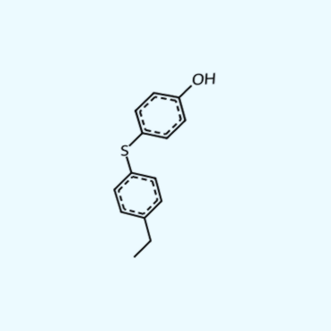 CCc1ccc(Sc2ccc(O)cc2)cc1